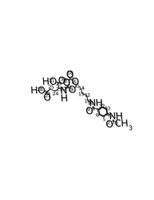 CC(=O)Nc1ccc(C(=O)NCCCC[C@@H](OC=O)OC(=O)N[C@@H](CCC(=O)O)C(=O)O)cc1